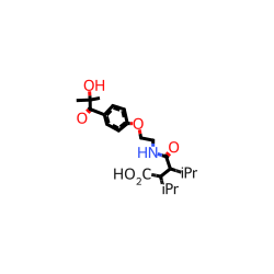 CC(C)C(C(=O)O)C(C(=O)NCCOc1ccc(C(=O)C(C)(C)O)cc1)C(C)C